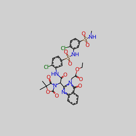 CCOC(=O)Cn1c(C(C(=O)Nc2cc(S(=O)(=O)Nc3cc(S(=O)(=O)NC)ccc3Cl)ccc2Cl)N2C(=O)OC(C)(C)C2=O)nc2ccccc2c1=O